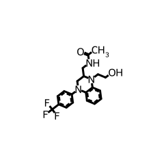 CC(=O)NCC1CN(c2ccc(C(F)(F)F)cc2)c2ccccc2N1CCO